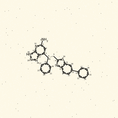 Nc1cc([C@H](Cc2nc3ccc(-c4ccccc4)cc3s2)c2ccccc2)c2nn[nH]c2n1